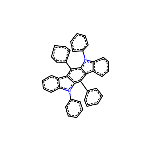 c1ccc(-c2c3c4ccccc4n(-c4ccccc4)c3c(-c3ccccc3)c3c4ccccc4n(-c4ccccc4)c23)cc1